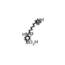 O=C(CCCCCc1c[nH]nn1)NC1CCN(C(=O)O)CC1